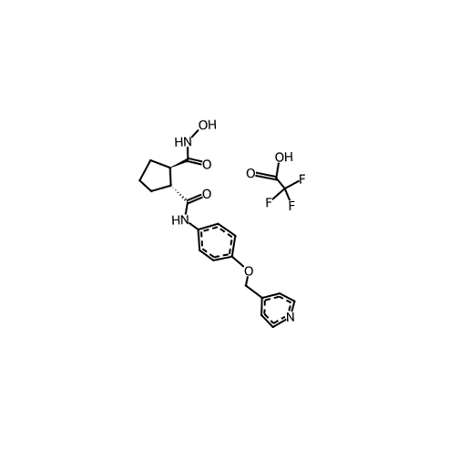 O=C(NO)[C@@H]1CCC[C@H]1C(=O)Nc1ccc(OCc2ccncc2)cc1.O=C(O)C(F)(F)F